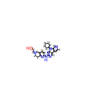 OCCN1CCc2nc(Nc3ncc4c5ccncc5n(C5CCCCC5)c4n3)ccc2C1